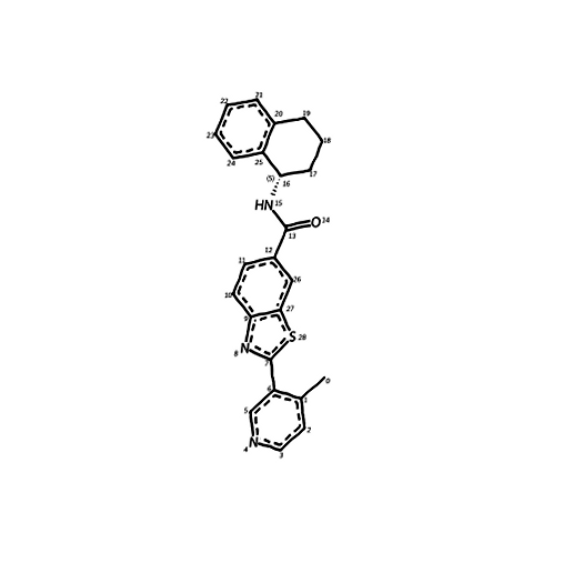 Cc1ccncc1-c1nc2ccc(C(=O)N[C@H]3CCCc4ccccc43)cc2s1